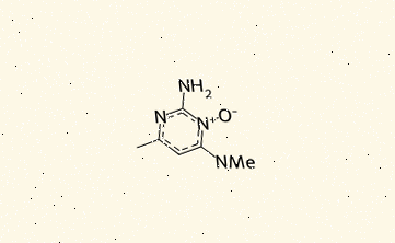 CNc1cc(C)nc(N)[n+]1[O-]